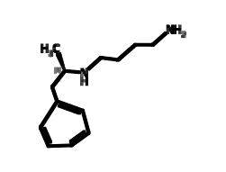 C[C@H](Cc1ccccc1)NCCCCN